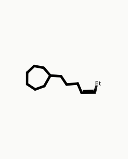 CC/C=C\CCCC1CCCCCC1